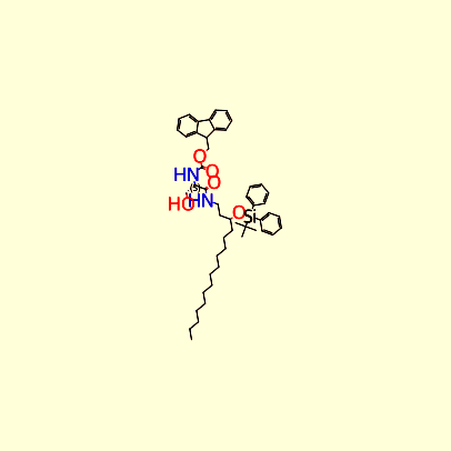 CCCCCCCCCCCCCC(CCNC(=O)[C@H](CO)NC(=O)OCC1c2ccccc2-c2ccccc21)O[Si](c1ccccc1)(c1ccccc1)C(C)(C)C